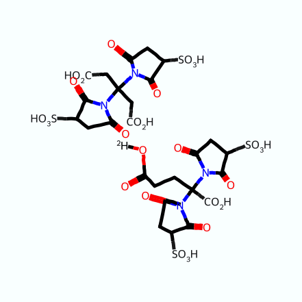 O=C(O)CC(CC(=O)O)(N1C(=O)CC(S(=O)(=O)O)C1=O)N1C(=O)CC(S(=O)(=O)O)C1=O.[2H]OC(=O)CCC(C(=O)O)(N1C(=O)CC(S(=O)(=O)O)C1=O)N1C(=O)CC(S(=O)(=O)O)C1=O